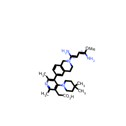 CO/C(N)=C/C=C(\N)N1CCc2cc(-c3c(C)nc(C)c(CC(=O)O)c3N3CCC(C)(C)CC3)ccc2C1